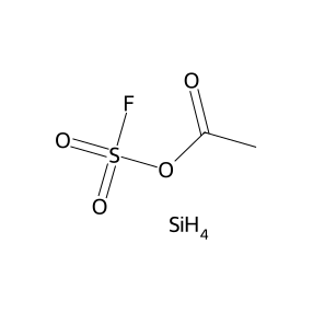 CC(=O)OS(=O)(=O)F.[SiH4]